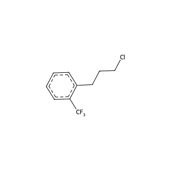 FC(F)(F)c1ccccc1CCCCl